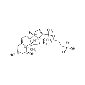 CCC(O)(CC)CCCOC(C)(C)C1=CC[C@H]2C3=CC=C4C[C@@H](O)C[C@H](O)[C@]4(C)[C@H]3CC[C@]12C